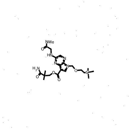 CNC(=O)CNc1cnc2c(n1)c(C(=O)OCC(C)(C)C(N)=O)cn2COCC[Si](C)(C)C